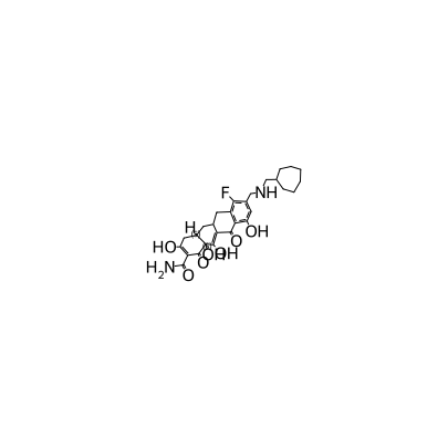 NC(=O)C1=C(O)C[C@@H]2CC3Cc4c(F)c(CNCC5CCCCCC5)cc(O)c4C(=O)C3=C(O)[C@]2(O)C1=O